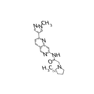 C[C@H]1CCCN1CC(=O)Nc1cc2nc(-c3cnn(C)c3)ccc2cn1